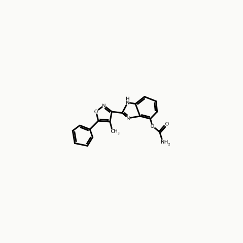 Cc1c(-c2nc3c(OC(N)=O)cccc3[nH]2)noc1-c1ccccc1